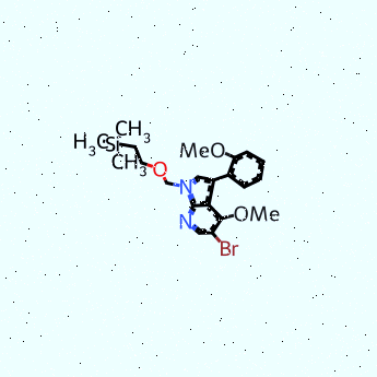 COc1ccccc1-c1cn(COCC[Si](C)(C)C)c2ncc(Br)c(OC)c12